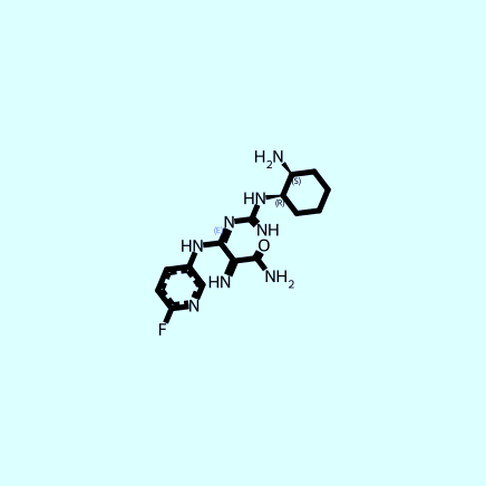 N=C(/N=C(/Nc1ccc(F)nc1)C(=N)C(N)=O)N[C@@H]1CCCC[C@@H]1N